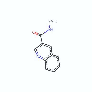 CCCCCNC(=O)c1cnc2ccccc2c1